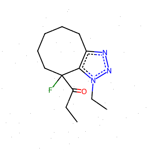 CCC(=O)C1(F)CCCCCc2nnn(CC)c21